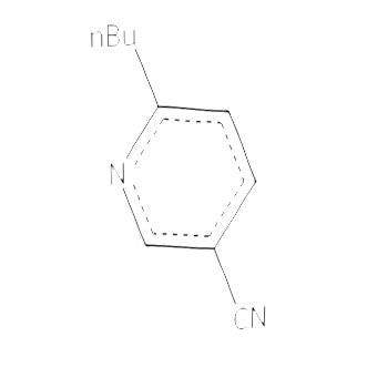 CCCCc1ccc(C#N)[c]n1